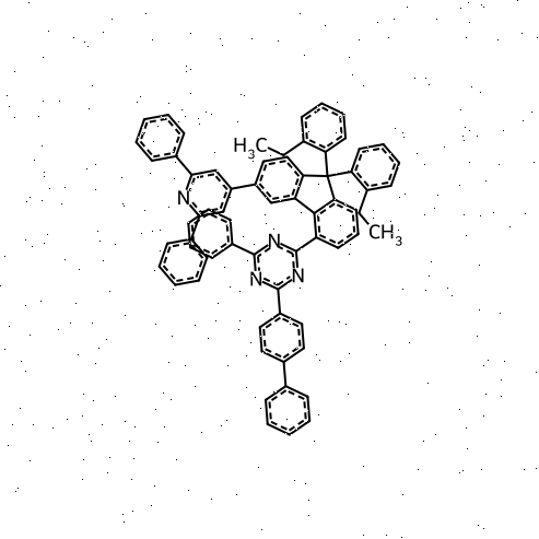 CCc1ccccc1C1(c2ccccc2CC)c2ccc(-c3cc(-c4ccccc4)nc(-c4ccccc4)c3)cc2-c2c(-c3nc(-c4ccccc4)nc(-c4ccc(-c5ccccc5)cc4)n3)cccc21